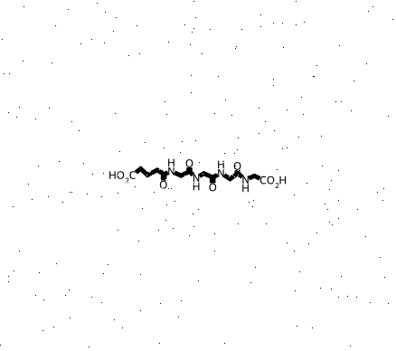 O=C(O)CCCC(=O)NCC(=O)NCC(=O)NCC(=O)NCC(=O)O